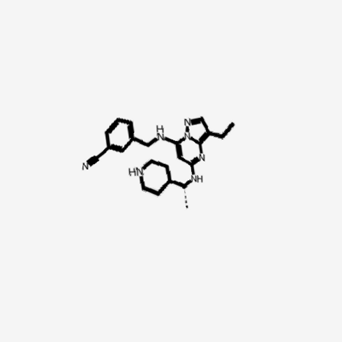 CCc1cnn2c(NCc3cccc(C#N)c3)cc(N[C@H](C)C3CCNCC3)nc12